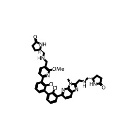 COc1nc(-c2cccc(-c3cccc(-c4ccc5nc(CNC[C@@H]6CCC(=O)N6)n(C)c5n4)c3Cl)c2Cl)ccc1CNC[C@H]1CCC(=O)N1